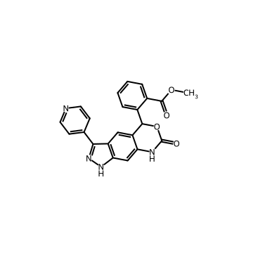 COC(=O)c1ccccc1C1OC(=O)Nc2cc3[nH]nc(-c4ccncc4)c3cc21